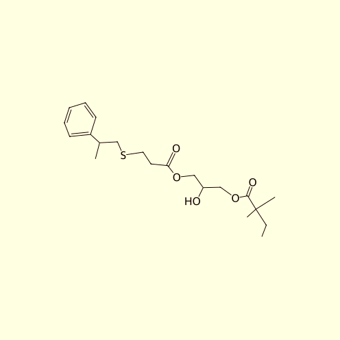 CCC(C)(C)C(=O)OCC(O)COC(=O)CCSCC(C)c1ccccc1